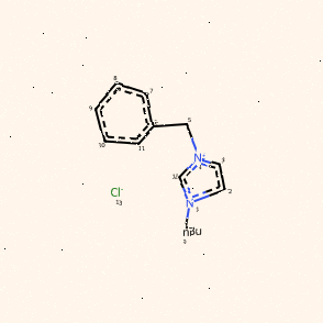 CCCCn1cc[n+](Cc2ccccc2)c1.[Cl-]